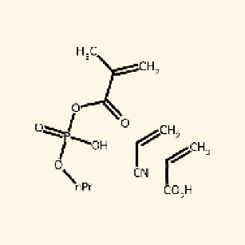 C=C(C)C(=O)OP(=O)(O)OCCC.C=CC#N.C=CC(=O)O